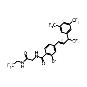 O=C(CNC(=O)c1ccc(/C=C/C(c2cc(C(F)(F)F)cc(C(F)(F)F)c2)C(F)(F)F)cc1Br)NCC(F)(F)F